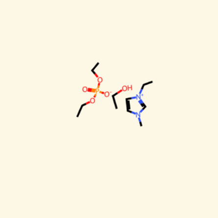 CCO.CCOP(=O)([O-])OCC.CC[n+]1ccn(C)c1